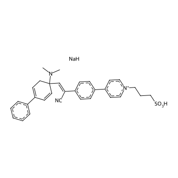 CN(C)C1(/C=C(\C#N)c2ccc(-c3cc[n+](CCCS(=O)(=O)O)cc3)cc2)C=CC(c2ccccc2)=CC1.[NaH]